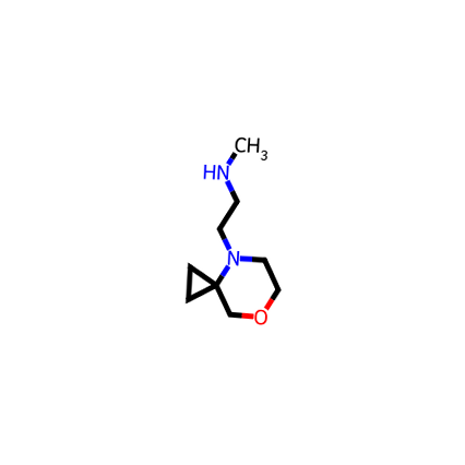 CNCCN1CCOCC12CC2